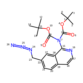 CC(C)(C)OC(=O)N(C(=O)OC(C)(C)C)c1nccc2ccc(CN=[N+]=[N-])cc12